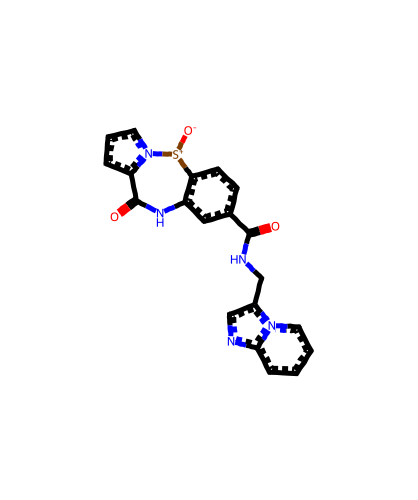 O=C(NCc1cnc2ccccn12)c1ccc2c(c1)NC(=O)c1cccn1[S+]2[O-]